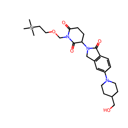 C[Si](C)(C)CCOCN1C(=O)CCC(N2Cc3cc(N4CCC(CO)CC4)ccc3C2=O)C1=O